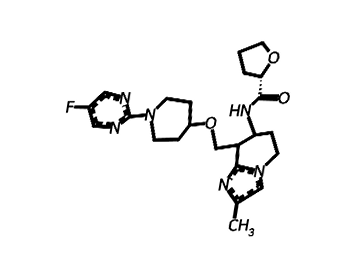 Cc1cn2c(n1)C(COC1CCN(c3ncc(F)cn3)CC1)C(NC(=O)[C@@H]1CCCO1)CC2